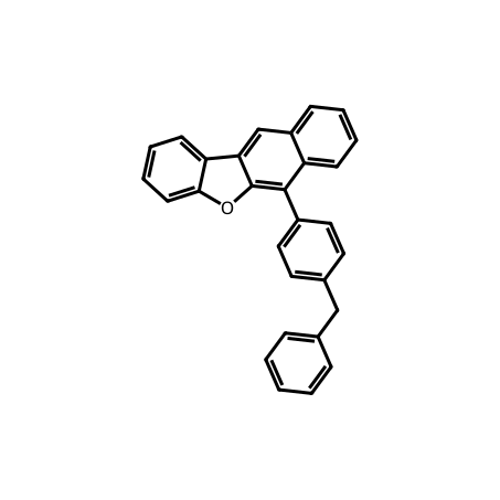 c1ccc(Cc2ccc(-c3c4ccccc4cc4c3oc3ccccc34)cc2)cc1